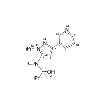 CC(C)C(O)N(C)c1cc(-c2cccnc2)nn1C(C)C